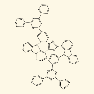 c1ccc(-c2nc(-c3ccccc3)nc(-c3cccc(-n4c5ccccc5c5cccc(-c6nnc(-c7cccc8c9ccccc9n(-c9cccc(-c%10nc(-c%11ccccc%11)nc(-c%11ccccc%11)n%10)c9)c78)s6)c54)c3)n2)cc1